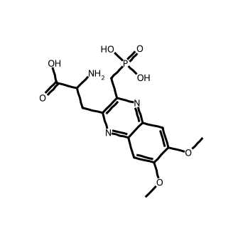 COc1cc2nc(CC(N)C(=O)O)c(CP(=O)(O)O)nc2cc1OC